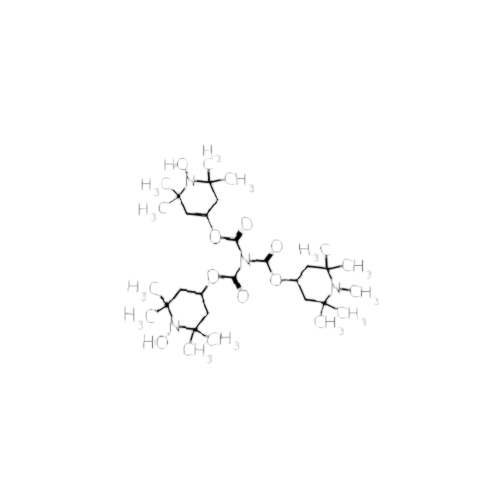 CN1C(C)(C)CC(OC(=O)N(C(=O)OC2CC(C)(C)N(O)C(C)(C)C2)C(=O)OC2CC(C)(C)N(O)C(C)(C)C2)CC1(C)C